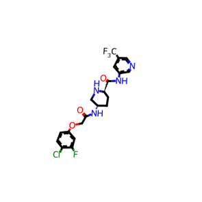 O=C(COc1ccc(Cl)c(F)c1)N[C@H]1CC[C@H](C(=O)Nc2cncc(C(F)(F)F)c2)NC1